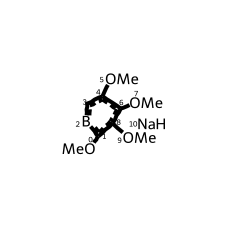 COc1bcc(OC)c(OC)c1OC.[NaH]